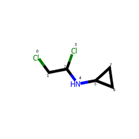 ClCC(Cl)NC1CC1